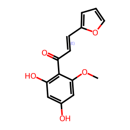 COc1cc(O)cc(O)c1C(=O)/C=C/c1ccco1